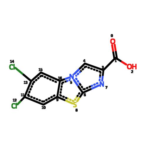 O=C(O)c1cn2c(n1)sc1cc(Cl)c(Cl)cc12